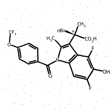 CCCC[C@@](C)(C(=O)O)c1c(C)n(C(=O)c2ccc(OC(F)(F)F)cc2)c2cc(F)c(O)c(F)c12